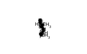 Cc1cn2c(-c3cnn(CC(=O)Nc4cccc(F)c4C)c3)cnc2c(NC2Cc3ccccc3C2)n1